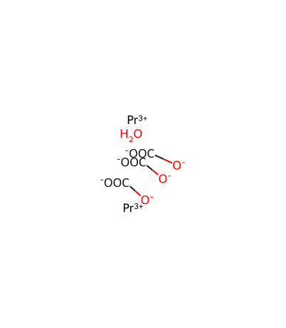 O.O=C([O-])[O-].O=C([O-])[O-].O=C([O-])[O-].[Pr+3].[Pr+3]